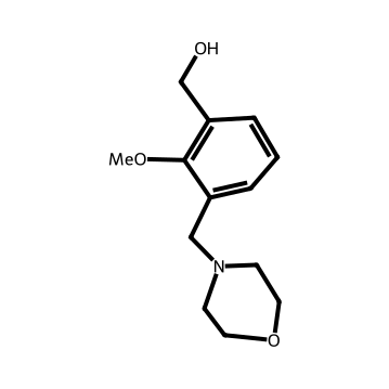 COc1c(CO)cccc1CN1CCOCC1